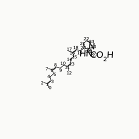 CC(C)=CCCC(C)=CCCC(C)=CCCC(C)=CCc1cccnc1NC(=O)O